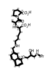 CC(C)NCC(O)COc1cccc2ccc(CNCCCCC(NC(C)C(=O)N3CCCC3C(=O)O)C(=O)O)cc12